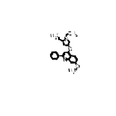 CCC1CC(Oc2cc(-c3ccccc3)nc3cc(OC)ccc23)CN1CC